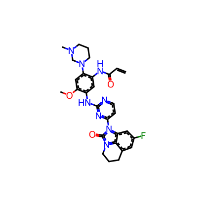 C=CC(=O)Nc1cc(Nc2nccc(-n3c(=O)n4c5c(cc(F)cc53)CCC4)n2)c(OC)cc1N1CCCN(C)C1